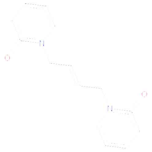 O=c1ccccn1C/C=C/Cn1ccccc1=O